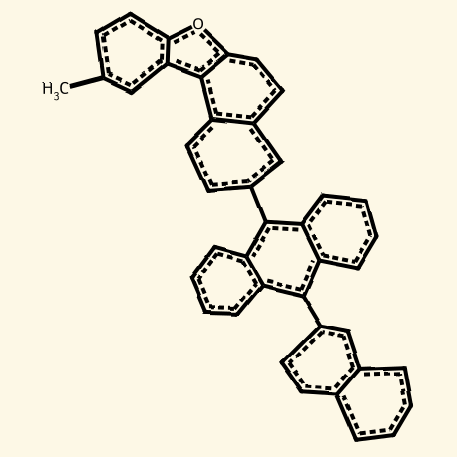 Cc1ccc2oc3ccc4cc(-c5c6ccccc6c(-c6ccc7ccccc7c6)c6ccccc56)ccc4c3c2c1